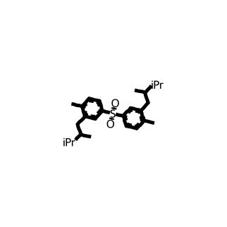 Cc1ccc(S(=O)(=O)c2ccc(C)c(CC(C)C(C)C)c2)cc1CC(C)C(C)C